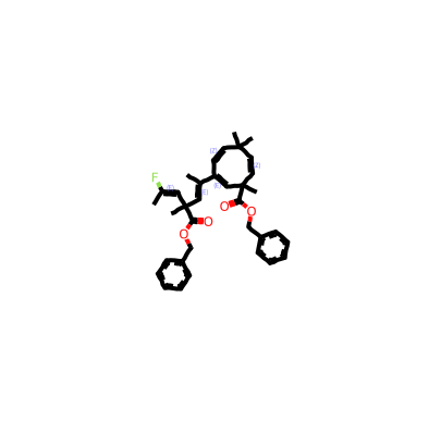 C/C(F)=C\C(C)(/C=C(C)/C1=C/C(C)(C(=O)OCc2ccccc2)/C=C\C(C)(C)/C=C\1)C(=O)OCc1ccccc1